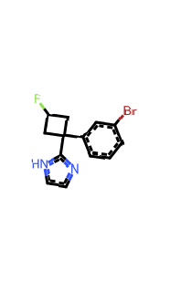 FC1CC(c2cccc(Br)c2)(c2ncc[nH]2)C1